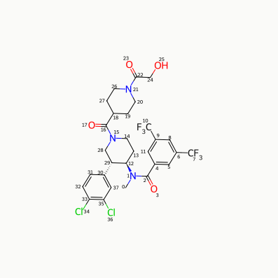 CN(C(=O)c1cc(C(F)(F)F)cc(C(F)(F)F)c1)[C@@H]1CCN(C(=O)C2CCN(C(=O)CO)CC2)C[C@H]1c1ccc(Cl)c(Cl)c1